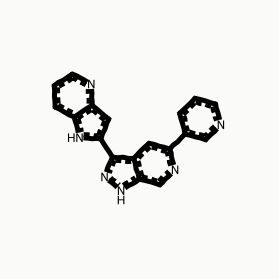 c1cncc(-c2cc3c(-c4cc5ncccc5[nH]4)n[nH]c3cn2)c1